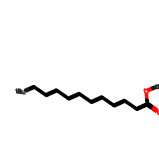 CC(C)(C)CCCCCCCCCCC(=O)OC(C)(C)C